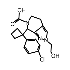 O=C(O)N1CCc2cn(CCO)nc2C1C1(c2ccc(Cl)cc2)CCC1